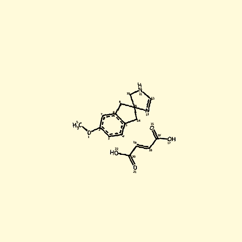 COc1ccc2c(c1)CC1(CNC=N1)C2.O=C(O)/C=C/C(=O)O